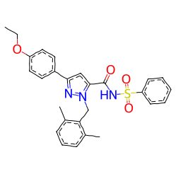 CCOc1ccc(-c2cc(C(=O)NS(=O)(=O)c3ccccc3)n(Cc3c(C)cccc3C)n2)cc1